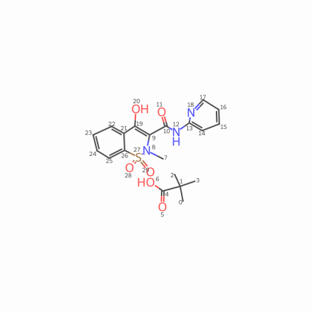 CC(C)(C)C(=O)O.CN1C(C(=O)Nc2ccccn2)=C(O)c2ccccc2S1(=O)=O